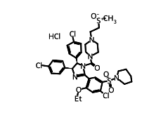 CCOc1cc(Cl)c(S(=O)(=O)N2CCCCC2)cc1C1=N[C@@H](c2ccc(Cl)cc2)[C@@H](c2ccc(Cl)cc2)N1C(=O)N1CCN(CC[S+](C)[O-])CC1.Cl